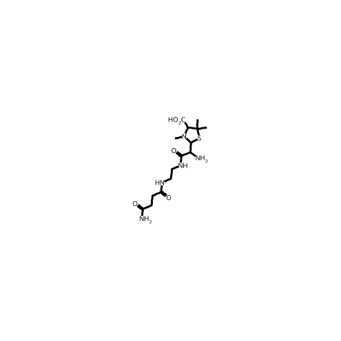 CN1C(C(N)C(=O)NCCNC(=O)CCC(N)=O)SC(C)(C)C1C(=O)O